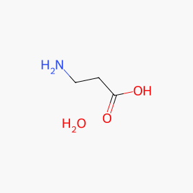 NCCC(=O)O.O